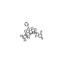 O=C(NCc1c(F)cc(F)cc1F)c1cn2c(c(OCc3ccccc3)c1=O)C(=O)N1C3CC([C@@H]4C[C@H]34)[C@@H]1C2